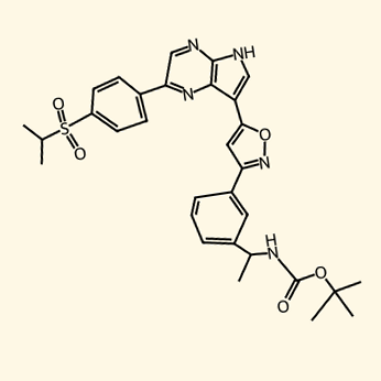 CC(NC(=O)OC(C)(C)C)c1cccc(-c2cc(-c3c[nH]c4ncc(-c5ccc(S(=O)(=O)C(C)C)cc5)nc34)on2)c1